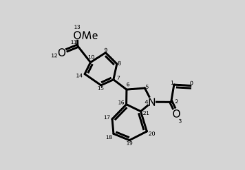 C=CC(=O)N1CC(c2ccc(C(=O)OC)cc2)c2ccccc21